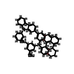 CC(C)(C)c1cc(N(c2cccc(-c3ccc4c5ccccc5n(-c5ccccc5)c4c3)c2)c2ccccc2-c2cccc3cccc(C4CCCCC4)c23)cc(C(C)(C)C)c1